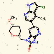 CO[C@@H]1CC[C@H](Cn2c(=O)[nH]c3ncc(-c4cnc5[nH]cc(Cl)c5c4C)cc32)OC1